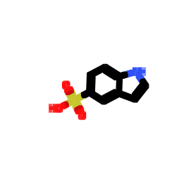 O=S(=O)(O)c1ccc2[nH]ccc2c1